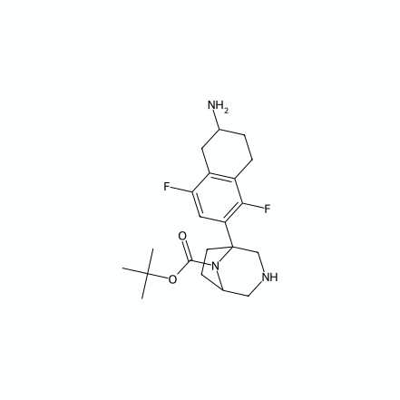 CC(C)(C)OC(=O)N1C2CCC1(c1cc(F)c3c(c1F)CCC(N)C3)CNC2